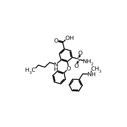 CCCCNc1cc(C(=O)O)cc(S(N)(=O)=O)c1Oc1ccccc1.CNCc1ccccc1